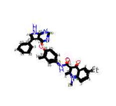 CCc1ccc2c(c1)c(=O)c(C(=O)Nc1ccc(Oc3ncnc4[nH]cc(-c5ccccc5)c34)c(C)c1)c(C)n2C